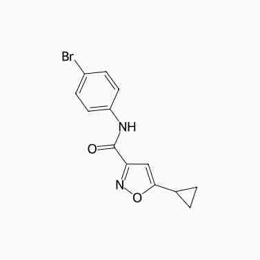 O=C(Nc1ccc(Br)cc1)c1cc(C2CC2)on1